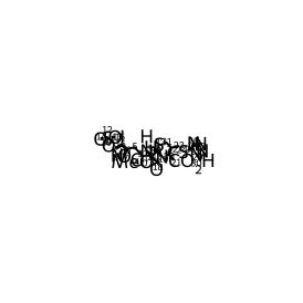 CO[C@@]1(NC(=O)Cc2onc(OS(C)(=O)=O)c2I)C(=O)N2C(C(=O)O)=C(CSc3nnnn3C)CS[C@@H]21